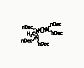 C=C(CN(CCCCCCCCCCCC)CCCCCCCCCCCC)N(CCCCCCCCCCCC)N1CCN(N(CCCCCCCCCCCC)CCCCCCCCCCCC)CC1